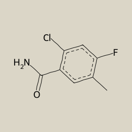 Cc1cc(C(N)=O)c(Cl)cc1F